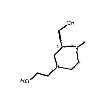 CN1CCN(CCO)C[C@H]1CO